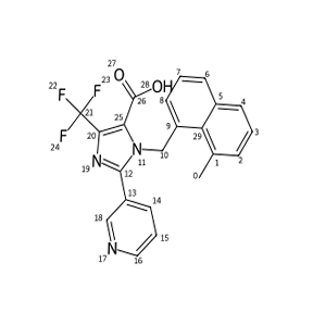 Cc1cccc2cccc(Cn3c(-c4cccnc4)nc(C(F)(F)F)c3C(=O)O)c12